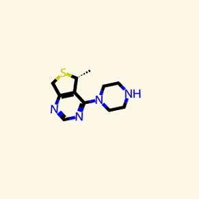 C[C@H]1SCc2ncnc(N3CCNCC3)c21